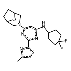 Cc1csc(-c2nc(NC3CCC(F)(F)CC3)cc(N3CC4CCC(C3)O4)n2)n1